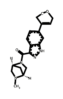 CN1C[C@@H]2C[C@H]1CN2C(=O)c1n[nH]c2cc(C3=CCOCC3)ccc12